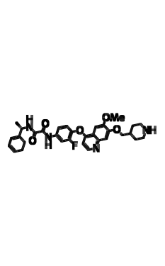 COc1cc2c(Oc3ccc(NC(=O)C(=O)N[C@H](C)C4=CC=CCC4)cc3F)ccnc2cc1OCC1CCNCC1